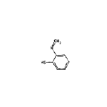 C=Nc1ccccc1S